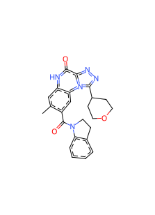 Cc1cc2[nH]c(=O)c3nnc(C4CCOCC4)n3c2cc1C(=O)N1CCc2ccccc21